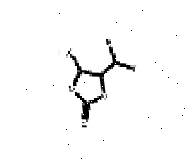 CC1OC(=O)OC1C(F)F